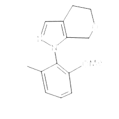 COc1cccc(C)c1-n1ncc2c1COCC2